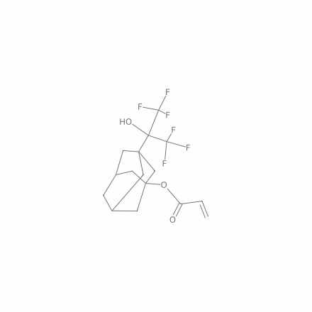 C=CC(=O)OC12CC3CC(C1)CC(C(O)(C(F)(F)F)C(F)(F)F)(C3)C2